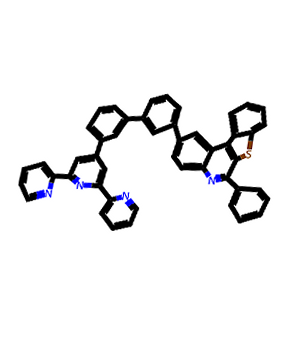 c1ccc(-c2nc3ccc(-c4cccc(-c5cccc(-c6cc(-c7ccccn7)nc(-c7ccccn7)c6)c5)c4)cc3c3c2sc2ccccc23)cc1